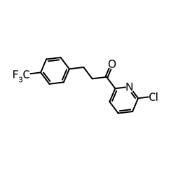 O=C(CCc1ccc(C(F)(F)F)cc1)c1cccc(Cl)n1